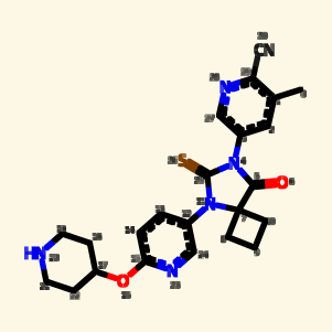 Cc1cc(N2C(=O)C3(CCC3)N(c3ccc(OC4CCNCC4)nc3)C2=S)cnc1C#N